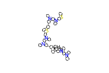 CC1(C)c2ccc(-c3ccc4c(c3)c3c5c6ccccc6n(-c6ccc(-c7cccc8c7sc7ccc(-c9ccc%10c(c9)c9c%11c%12ccccc%12n(-c%12ccc%13sc%14ccccc%14c%13c%12)c%11ccc9n%10-c9ccccc9)cc78)cc6)c5ccc3n4-c3ccccc3)cc2-c2cccc(-c3ccc(-n4c5ccccc5c5c6c7ccccc7n(-c7ccccc7)c6ccc54)cc3)c21